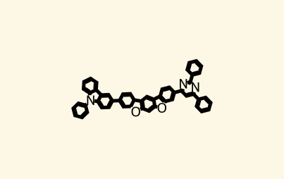 C1=CC2c3cc4c(cc3OC2C=C1c1ccc2c(c1)c1ccccc1n2-c1ccccc1)oc1cc(-c2cc(-c3ccccc3)nc(-c3ccccc3)n2)ccc14